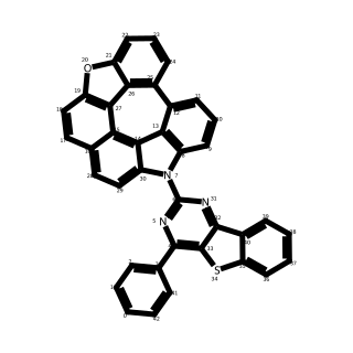 c1ccc(-c2nc(-n3c4cccc5c4c4c6c(ccc7oc8cccc-5c8c76)ccc43)nc3c2sc2ccccc23)cc1